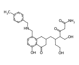 Cc1ccc(CNCc2ccc(O)c3c2CC(CC(CCO)C(CO)C(=O)CC(N)=O)CC3=O)cc1